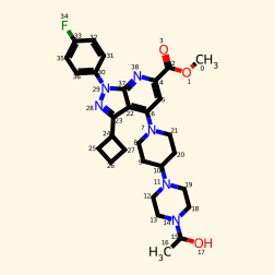 COC(=O)c1cc(N2CCC(N3CCN(C(C)O)CC3)CC2)c2c(C3CCC3)nn(-c3ccc(F)cc3)c2n1